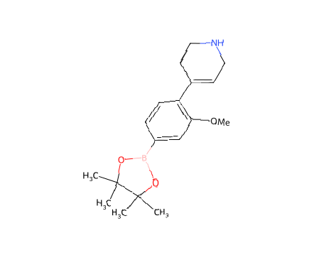 COc1cc(B2OC(C)(C)C(C)(C)O2)ccc1C1=CCNCC1